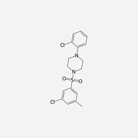 Cc1cc(Cl)cc(S(=O)(=O)N2CCN(c3ccccc3Cl)CC2)c1